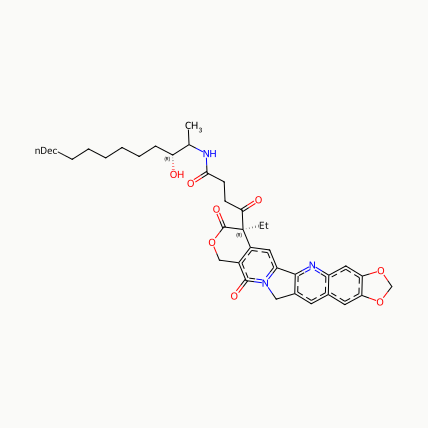 CCCCCCCCCCCCCCCC[C@@H](O)C(C)NC(=O)CCC(=O)[C@]1(CC)C(=O)OCc2c1cc1n(c2=O)Cc2cc3cc4c(cc3nc2-1)OCO4